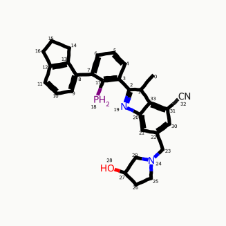 CC1C(c2cccc(-c3cccc4c3CCC4)c2P)=Nc2cc(CN3CCC(O)C3)cc(C#N)c21